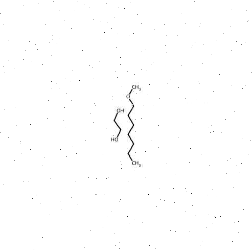 CCCCCCCOC.OCCO